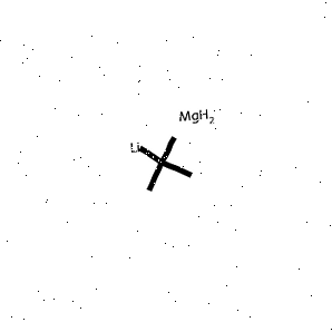 [Li][C](C)(C)C.[MgH2]